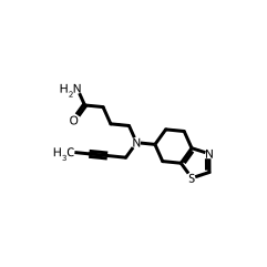 CC#CCN(CCCC(N)=O)C1CCc2ncsc2C1